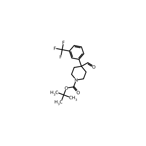 CC(C)(C)OC(=O)N1CCC(C=O)(c2cccc(C(F)(F)F)c2)CC1